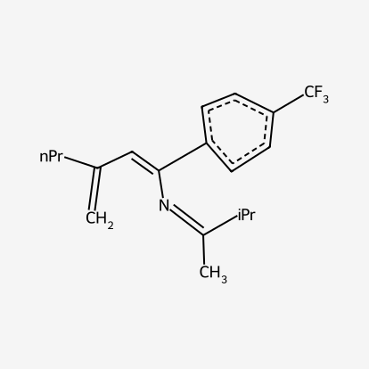 C=C(/C=C(\N=C(\C)C(C)C)c1ccc(C(F)(F)F)cc1)CCC